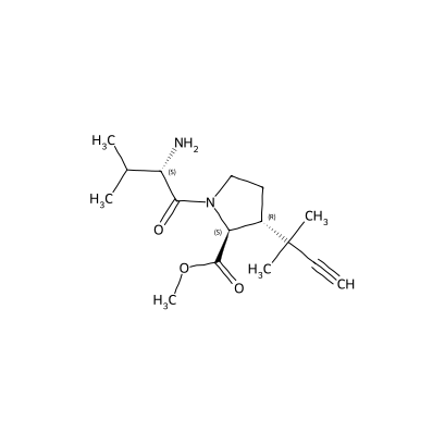 C#CC(C)(C)[C@H]1CCN(C(=O)[C@@H](N)C(C)C)[C@@H]1C(=O)OC